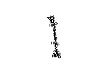 CSc1cccc2cc(C(=O)NCCOCCOCCOCCNC(=O)CCCC[C@@H]3SC[C@@H]4NC(=O)N[C@@H]43)cnc12